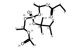 CCC(=O)OC(C)OP(=O)(OC(C)OC(C)=O)OC(C)(C)C(C)C